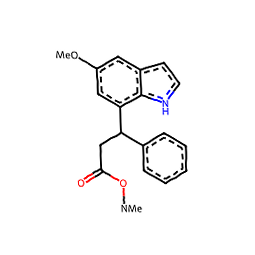 CNOC(=O)CC(c1ccccc1)c1cc(OC)cc2cc[nH]c12